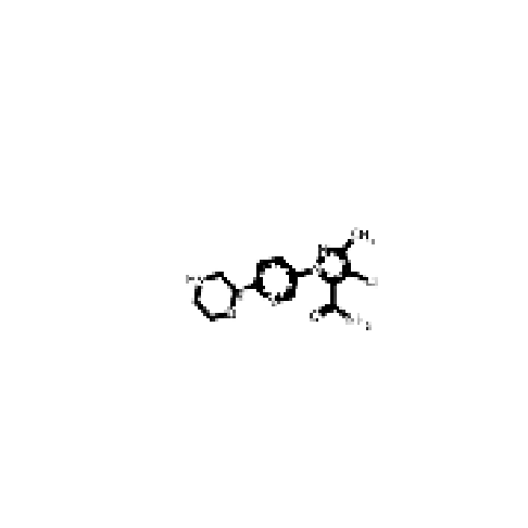 Cc1nn(-c2ccc([C@@H]3CNCCO3)nc2)c(C(N)=O)c1Cl